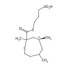 CC1CCCC(C)(C(=O)SCCCS(=O)(=O)O)C[C@@H](C)C1